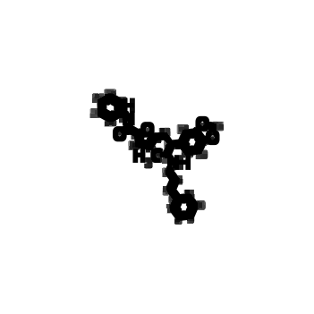 C[C@H](NCC=Cc1ccccc1)[C@@H](Cc1ccc(C(=O)Nc2ccccc2)o1)c1ccc2c(c1)OCO2